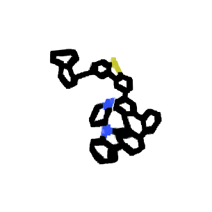 c1cncc(-n2c3ccccc3c3ccc4c5ccccc5c5cc(-c6ccc7sc8ccc(-c9cccc%10ccccc9%10)cc8c7c6)ccc5c4c32)c1